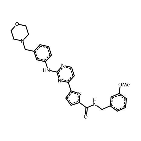 COc1cccc(CNC(=O)c2ccc(-c3ccnc(Nc4cccc(CN5CCOCC5)c4)n3)s2)c1